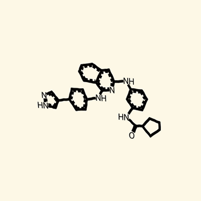 O=C(Nc1cccc(Nc2cc3ccccc3c(Nc3ccc(-c4cn[nH]c4)cc3)n2)c1)C1CCCC1